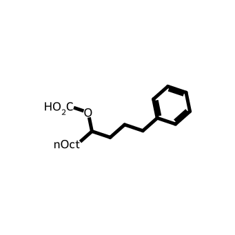 CCCCCCCCC(CCCc1ccccc1)OC(=O)O